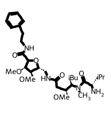 CC[C@H](C)C([C@@H](CC(=O)NC[C@H]1OC(C(=O)NCCc2ccccc2)[C@@H](OC)[C@@H]1OC)OC)N(C)C(=O)[C@@H](N)C(C)C